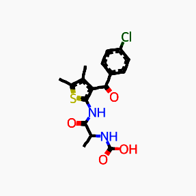 Cc1sc(NC(=O)C(C)NC(=O)O)c(C(=O)c2ccc(Cl)cc2)c1C